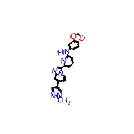 Cn1cc(-c2ccn3c(-c4cccc(Nc5ccc6c(c5)OCO6)n4)cnc3c2)cn1